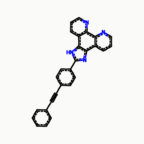 C(#Cc1ccc(-c2nc3c4cccnc4c4ncccc4c3[nH]2)cc1)c1ccccc1